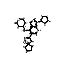 c1nc2c(cnn2C2CCCC2)c(NC2CCOCC2)c1C1=NOC2(CCCC2)C1